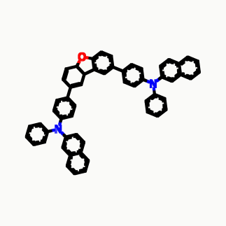 C1=CC2Oc3ccc(-c4ccc(N(c5ccccc5)c5ccc6ccccc6c5)cc4)cc3C2C=C1c1ccc(N(c2ccccc2)c2ccc3ccccc3c2)cc1